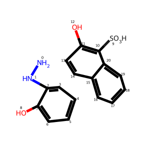 NNc1ccccc1O.O=S(=O)(O)c1c(O)ccc2ccccc12